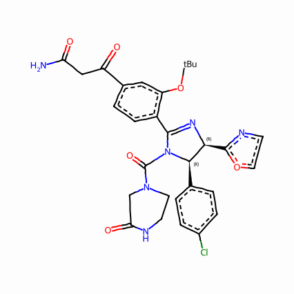 CC(C)(C)Oc1cc(C(=O)CC(N)=O)ccc1C1=N[C@@H](c2ncco2)[C@@H](c2ccc(Cl)cc2)N1C(=O)N1CCNC(=O)C1